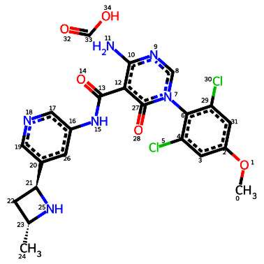 COc1cc(Cl)c(-n2cnc(N)c(C(=O)Nc3cncc([C@@H]4C[C@@H](C)N4)c3)c2=O)c(Cl)c1.O=CO